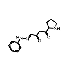 O=C(C=NNc1ccccc1)CC(=O)C1CCCN1